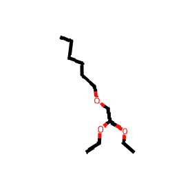 CCCCCCOCC(OCC)OCC